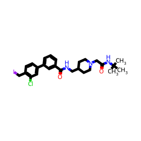 CC(C)(C)NC(=O)CN1CCC(CNC(=O)c2cccc(-c3ccc(CI)c(Cl)c3)c2)CC1